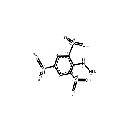 NNc1c([SH](=O)=O)cc([SH](=O)=O)cc1[SH](=O)=O